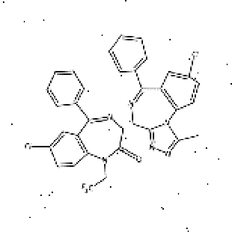 Cc1nnc2n1-c1ccc(Cl)cc1C(c1ccccc1)=NC2.O=C1CN=C(c2ccccc2)c2cc(Cl)ccc2N1CC(F)(F)F